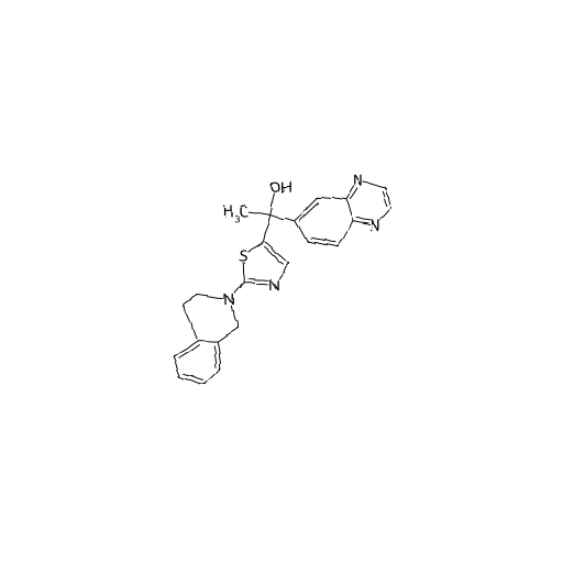 CC(O)(c1ccc2nccnc2c1)c1cnc(N2CCc3ccccc3C2)s1